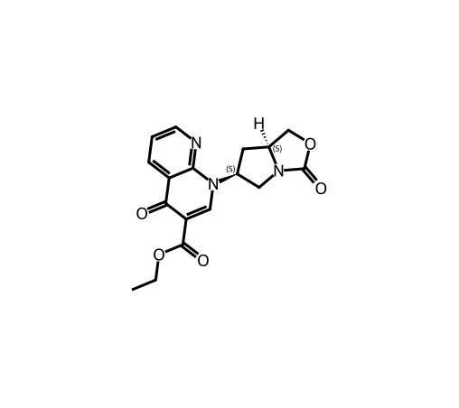 CCOC(=O)c1cn([C@H]2C[C@H]3COC(=O)N3C2)c2ncccc2c1=O